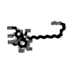 CCCCC/C=C\C/C=C\CCCCCCCC(=O)O[C@@]1([C@@]2(CO)O[C@H](CO)[C@@H](O)[C@@H]2O)O[C@H](CO)[C@@H](O)[C@H](O)[C@H]1O